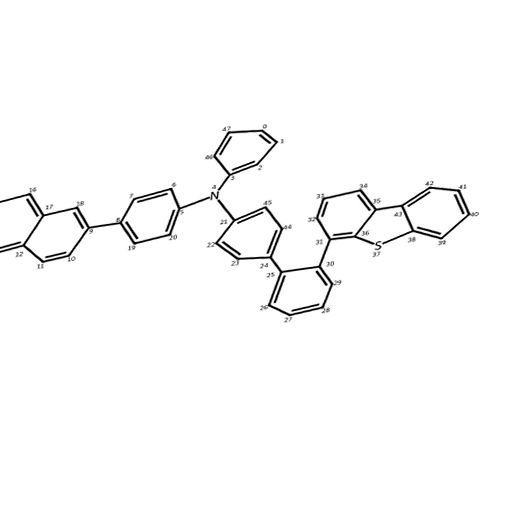 c1ccc(N(c2ccc(-c3ccc4ccccc4c3)cc2)c2ccc(-c3ccccc3-c3cccc4c3sc3ccccc34)cc2)cc1